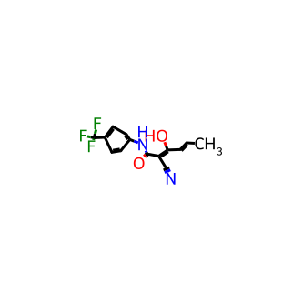 CC=CC(O)=C(C#N)C(=O)Nc1ccc(C(F)(F)F)cc1